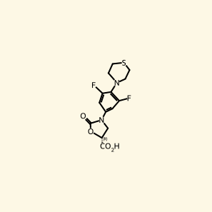 O=C(O)[C@H]1CN(c2cc(F)c(N3CCSCC3)c(F)c2)C(=O)O1